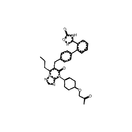 CCCc1c(Cc2ccc(-c3ccccc3-c3noc(=O)[nH]3)cc2)c(=O)n(C2CCC(OCC(C)=O)CC2)c2ncnn12